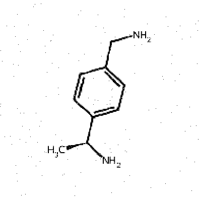 C[C@H](N)c1ccc(CN)cc1